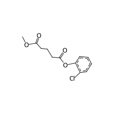 COC(=O)CCCC(=O)Oc1ccccc1Cl